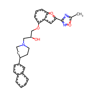 Cc1nc(-c2cc3c(OC[C@@H](O)CN4CCC(c5ccc6ccccc6c5)CC4)cccc3o2)no1